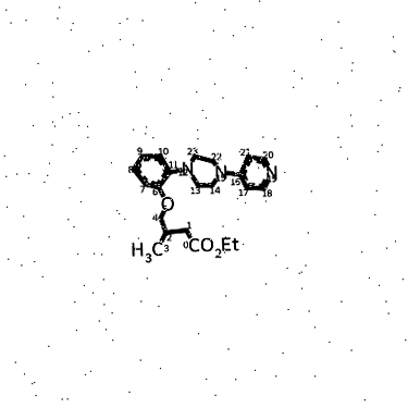 CCOC(=O)CC(C)COc1ccccc1N1CCN(c2ccncc2)CC1